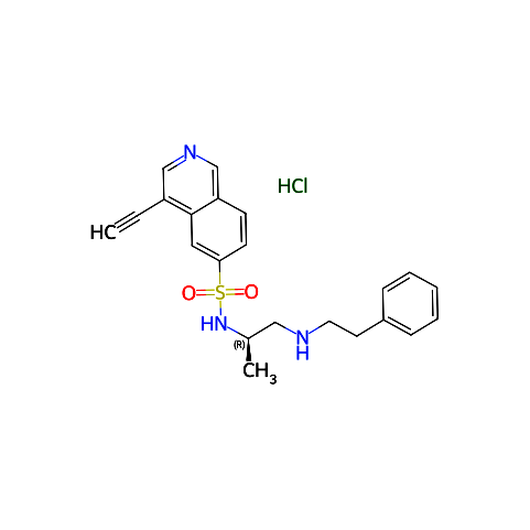 C#Cc1cncc2ccc(S(=O)(=O)N[C@H](C)CNCCc3ccccc3)cc12.Cl